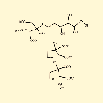 O=C([O-])CC(CC(=O)[O-])(OOC[C@H](O)[C@@H](O)[C@H](O)CO)C(=O)[O-].O=C([O-])CC(O)(CC(=O)[O-])C(=O)[O-].O=C([O-])CC(O)(CC(=O)[O-])C(=O)[O-].[Fe+3].[Mg+2].[Mg+2].[Mg+2]